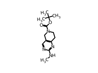 CNc1ncc2c(n1)CCN(C(=O)OC(C)(C)C)C2